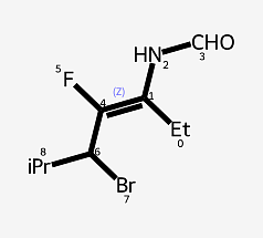 CC/C(NC=O)=C(/F)C(Br)C(C)C